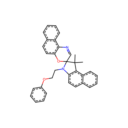 CC1(C)c2c(ccc3ccccc23)N(CCOc2ccccc2)C12C=Nc1c(ccc3ccccc13)O2